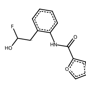 O=C(Nc1ccccc1[CH]C(O)F)c1ccco1